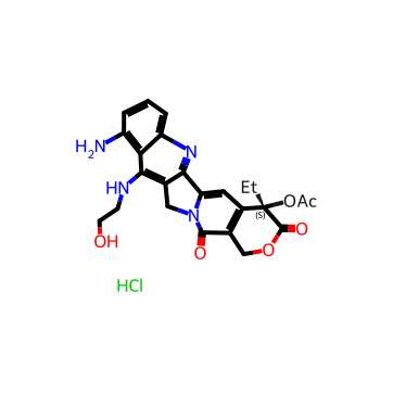 CC[C@@]1(OC(C)=O)C(=O)OCc2c1cc1n(c2=O)Cc2c-1nc1cccc(N)c1c2NCCO.Cl